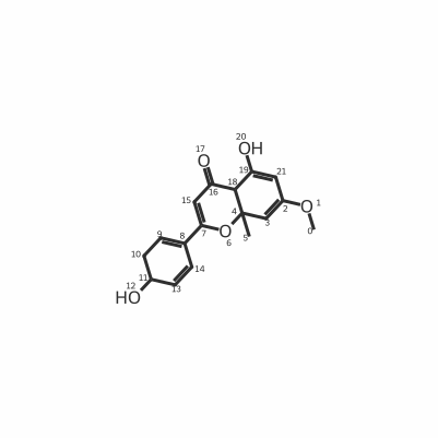 COC1=CC2(C)OC(C3=CCC(O)C=C3)=CC(=O)C2C(O)=C1